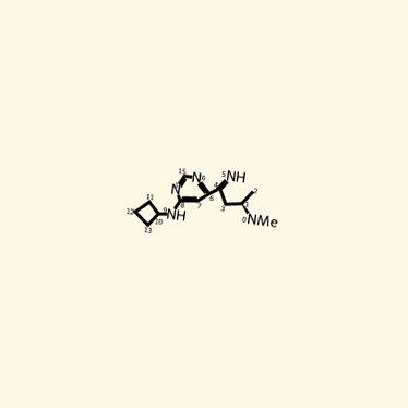 CN[C@H](C)CC(=N)c1cc(NC2CCC2)ncn1